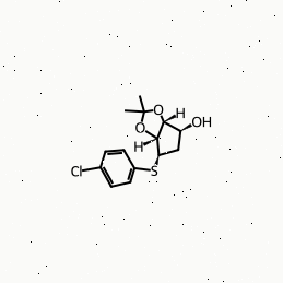 CC1(C)O[C@@H]2[C@H](O1)[C@@H](O)C[C@H]2Sc1ccc(Cl)cc1